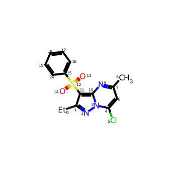 CCc1nn2c(Cl)cc(C)nc2c1S(=O)(=O)c1ccccc1